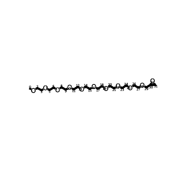 COCCOCCOCCOCCOCCOCCOCCOCCOCCOCC1CO1